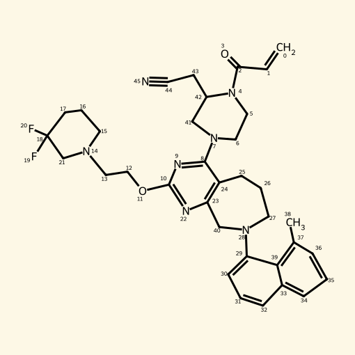 C=CC(=O)N1CCN(c2nc(OCCN3CCCC(F)(F)C3)nc3c2CCCN(c2cccc4cccc(C)c24)C3)CC1CC#N